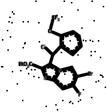 CCOC(=O)c1nc2cc(F)c(Br)cn2c1C(Cl)c1ccccc1OC(F)(F)F